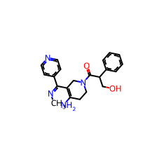 C/N=C(\C1=C(N)CCN(C(=O)C(CO)c2ccccc2)C1)c1ccncc1